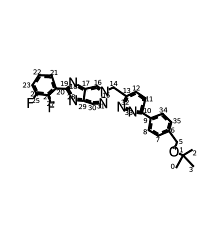 CC(C)(C)OCc1ccc(-c2ccc(Cn3cc4nc(-c5cccc(F)c5F)nc-4cn3)nn2)cc1